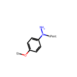 CCCCCN(N)c1ccc(OCC)cc1